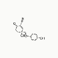 C[C@]1(/C=C/c2ccc(O)cc2)C=C(C#N)C(=O)CC1